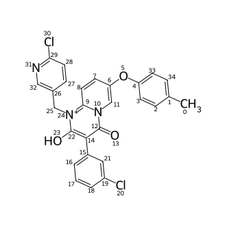 Cc1ccc(Oc2ccc3n(c2)c(=O)c(-c2cccc(Cl)c2)c(O)[n+]3Cc2ccc(Cl)nc2)cc1